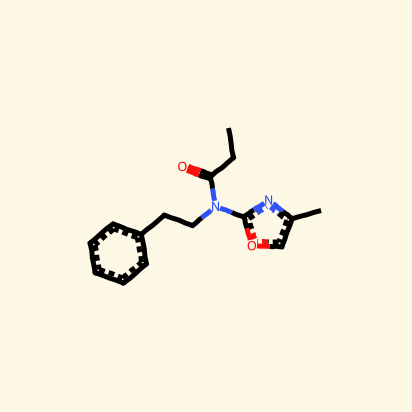 CCC(=O)N(CCc1ccccc1)c1nc(C)co1